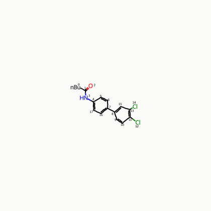 CCCCC(=O)Nc1ccc(-c2ccc(Cl)c(Cl)c2)cc1